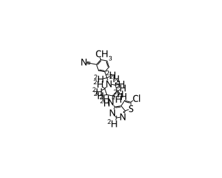 [2H]c1nc(N([2H])C2([2H])C([2H])([2H])C([2H])([2H])N(C([2H])([2H])c3ccc(C)c(C#N)c3)C([2H])([2H])C2([2H])[2H])c2c([2H])c(Cl)sc2n1